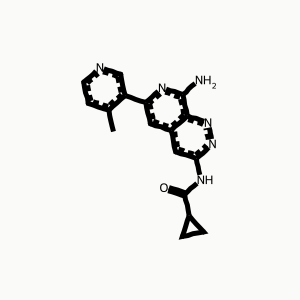 Cc1ccncc1-c1cc2cc(NC(=O)C3CC3)nnc2c(N)n1